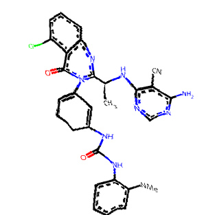 CNc1ccccc1NC(=O)NC1=CC(n2c([C@H](C)Nc3ncnc(N)c3C#N)nc3cccc(Cl)c3c2=O)=CCC1